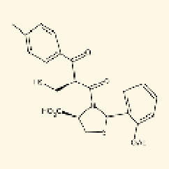 CC(=O)Oc1ccccc1C1SC[C@@H](C(=O)O)N1C(=O)[C@@H](CS)C(=O)c1ccc(C)cc1